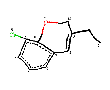 CCC1=Cc2cccc(Cl)c2OC1